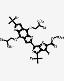 CCCCCCCCOC(=O)c1sc2c(-c3cc4c(OCC(CC)CCCC)c5sc(C(C)(C)CC)cc5c(OCC(CC)CCCC)c4s3)sc(C(C)(C)CC)c2c1F